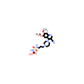 COc1cc2ncc(C#N)c(N3CCCN(CCCNS(=O)(=O)NC(=O)O)CC3)c2cc1OC